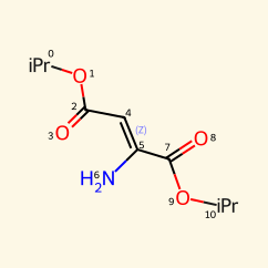 CC(C)OC(=O)/C=C(\N)C(=O)OC(C)C